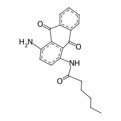 CCCCCC(=O)Nc1ccc(N)c2c1C(=O)c1ccccc1C2=O